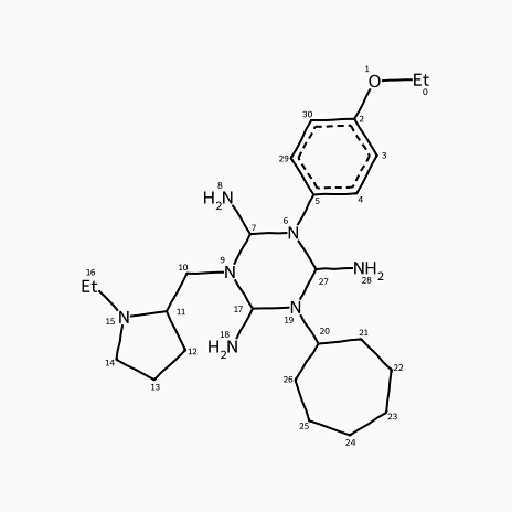 CCOc1ccc(N2C(N)N(CC3CCCN3CC)C(N)N(C3CCCCCC3)C2N)cc1